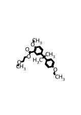 CCOc1ccc(C(C)(C)c2ccc(OC)c(C(=O)OCCOC)c2)cc1